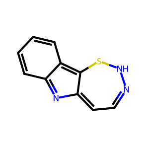 C1=NNSC2=c3ccccc3=NC2=C1